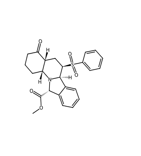 COC(=O)[C@H]1c2ccccc2[C@@H]2[C@H](S(=O)(=O)c3ccccc3)C[C@H]3C(=O)CCC[C@H]3N21